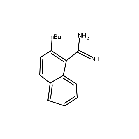 CCCCc1ccc2ccccc2c1C(=N)N